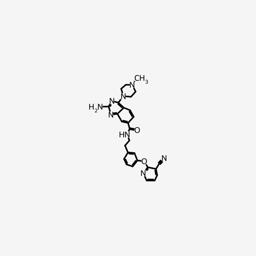 CN1CCN(c2nc(N)nc3cc(C(=O)NCCc4cccc(Oc5ncccc5C#N)c4)ccc23)CC1